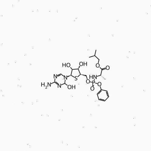 CC(C)COC(=O)[C@H](C)NP(=O)(OC[C@H]1S[C@@H](N2C=NC(N)=NC2O)C(O)[C@H]1O)Oc1ccccc1